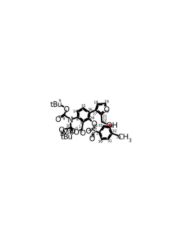 COC(=O)c1c(N(C(=O)OC(C)(C)C)C(=O)OC(C)(C)C)ccc(-c2ccoc2CO)c1OS(=O)(=O)c1ccc(C)cc1